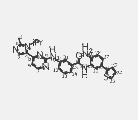 Cc1ncc(-c2ccnc(Nc3cccc(C(=O)Nc4cc(-c5cccs5)ccc4N)c3)n2)n1C(C)C